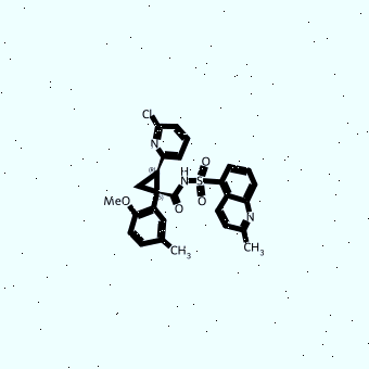 COc1ccc(C)cc1[C@]1(C(=O)NS(=O)(=O)c2cccc3nc(C)ccc23)C[C@H]1c1cccc(Cl)n1